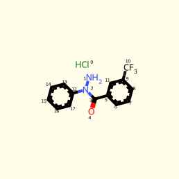 Cl.NN(C(=O)c1cccc(C(F)(F)F)c1)c1ccccc1